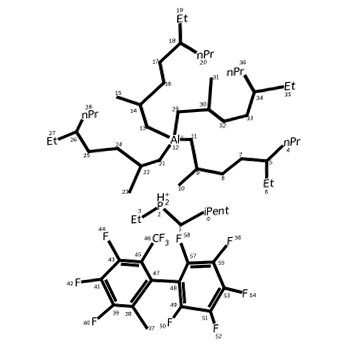 CCCC(C)C[PH2+]CC.CCCC(CC)CCC(C)[CH2][Al-]([CH2]C(C)CCC(CC)CCC)([CH2]C(C)CCC(CC)CCC)[CH2]C(C)CCC(CC)CCC.Cc1c(F)c(F)c(F)c(C(F)(F)F)c1-c1c(F)c(F)c(F)c(F)c1F